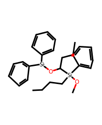 CCCC[Si](OC)(c1ccccc1)C(CCC)O[Si](c1ccccc1)c1ccccc1